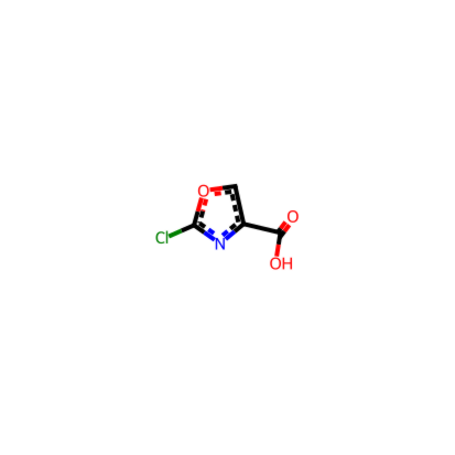 O=C(O)c1coc(Cl)n1